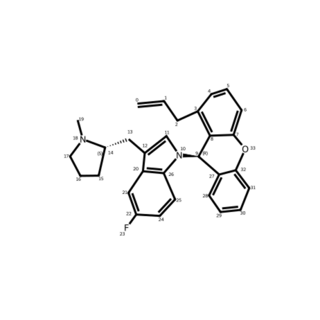 C=CCc1cccc2c1[C@H](n1cc(C[C@@H]3CCCN3C)c3cc(F)ccc31)c1ccccc1O2